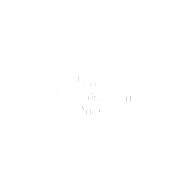 C=CCNC(=O)C1C(=C)C(=O)O[C@@H]1CCCCCC